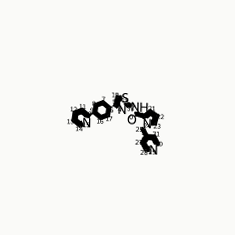 O=C(Nc1nc([C@H]2CC[C@H](c3ccccn3)CC2)cs1)c1cccn1Cc1ccncc1